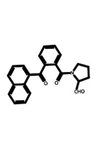 O=CC1CCCN1C(=O)c1ccccc1C(=O)c1cccc2ccccc12